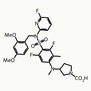 COc1ccc(CN(c2cccc(F)n2)S(=O)(=O)c2c(F)cc(N(C)C3CCN(C(=O)O)C3)c(C)c2F)c(OC)c1